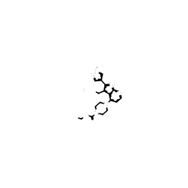 CCOC(=O)N1CCN(c2ccnc3[nH]c(-c4cnn(C)c4)c(CC)c23)CC1